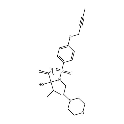 CC#CCOc1ccc(S(=O)(=O)N(CCN2CCOCC2)C(O)(C(N)=O)C(C)C)cc1